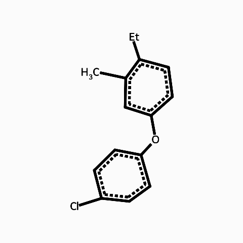 CCc1ccc(Oc2ccc(Cl)cc2)cc1C